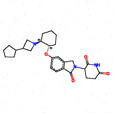 O=C1CCC(N2Cc3cc(O[C@H]4CCCC[C@@H]4N4CC(C5CCCC5)C4)ccc3C2=O)C(=O)N1